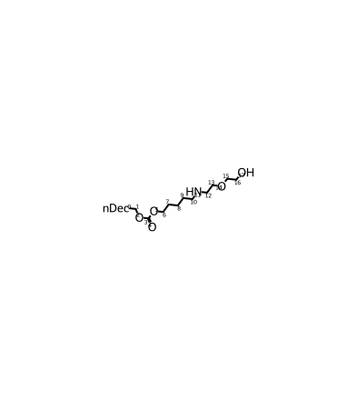 CCCCCCCCCCCOC(=O)OCCCCCNCCOCCO